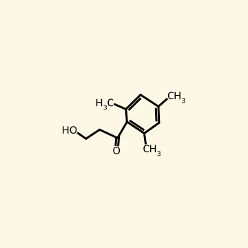 Cc1cc(C)c(C(=O)CCO)c(C)c1